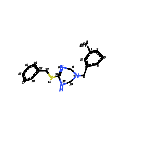 CCCc1cccc(CN2CN=C(SCc3ccccc3)NC2)c1